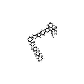 C1CCCCC1.C1CCCCC1.C1CCCCC1.C1CCCCC1.C1CCCCC1.C1CCCCC1.C1CCCCC1.C1CCCCC1.C1CCCCC1.CCC(C(=O)O)C1CCCCC1